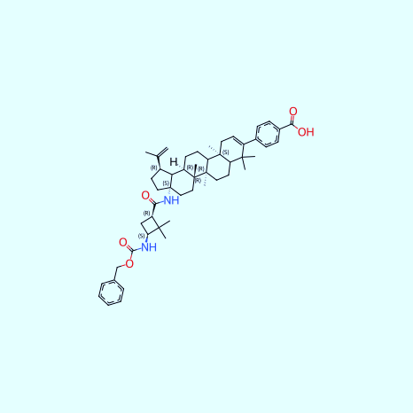 C=C(C)[C@@H]1CC[C@]2(NC(=O)[C@@H]3C[C@H](NC(=O)OCc4ccccc4)C3(C)C)CC[C@]3(C)[C@H](CCC4[C@@]5(C)CC=C(c6ccc(C(=O)O)cc6)C(C)(C)C5CC[C@]43C)C12